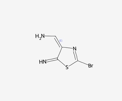 N=C1SC(Br)=N/C1=C/N